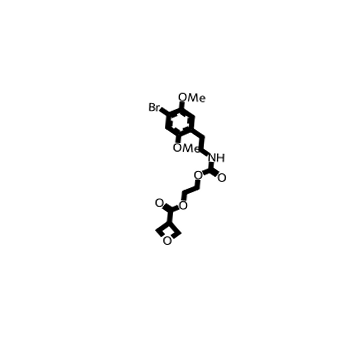 COc1cc(CCNC(=O)OCCOC(=O)C2COC2)c(OC)cc1Br